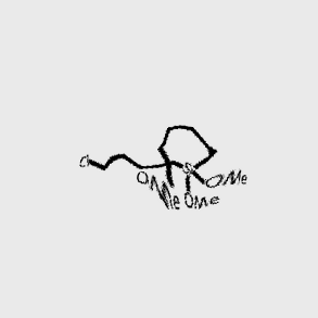 COC1(CCCCl)CCCC[Si]1(OC)OC